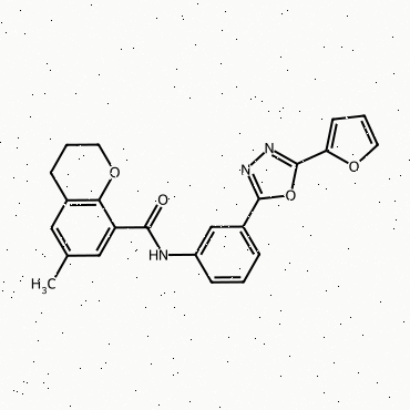 Cc1cc2c(c(C(=O)Nc3cccc(-c4nnc(-c5ccco5)o4)c3)c1)OCCC2